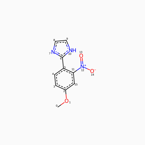 COc1ccc(-c2ncc[nH]2)c([N+](=O)[O-])c1